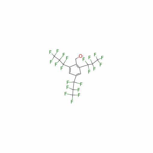 [O]Cc1c(C(F)(F)C(F)(F)C(F)(F)F)cc(C(F)(F)C(F)(F)C(F)(F)F)cc1C(F)(F)C(F)(F)C(F)(F)F